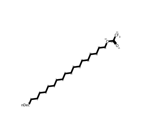 CCCCCCCCCCCCCCCCCCCCCCCCCCCCOC(=O)C(F)(F)F